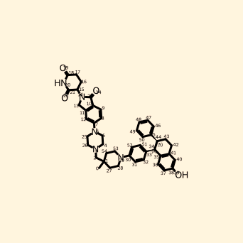 CC1(CN2CCN(c3ccc4c(c3)CN(C3CCC(=O)NC3=O)C4=O)CC2)CCN(c2ccc([C@@H]3c4ccc(O)cc4CC[C@@H]3c3ccccc3)cc2)CC1